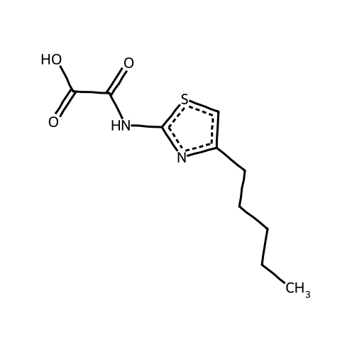 CCCCCc1csc(NC(=O)C(=O)O)n1